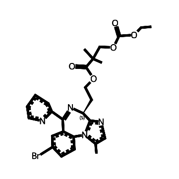 CCOC(=O)OCC(C)(C)C(=O)OCC[C@@H]1N=C(c2ccccn2)c2cc(Br)ccc2-n2c(C)cnc21